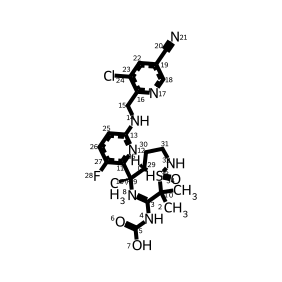 CC1(C)C(NC(=O)O)=N[C@](C)(c2nc(NCc3ncc(C#N)cc3Cl)ccc2F)[C@@H]2CCN[SH]21=O